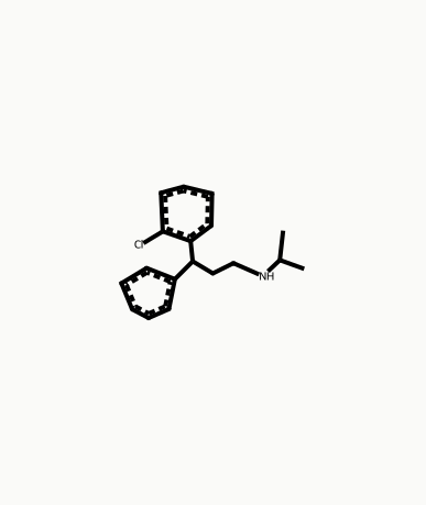 CC(C)NCCC(c1ccccc1)c1ccccc1Cl